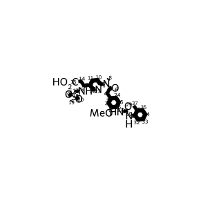 COc1cc(CC(=O)N(C)c2ccc(C(CC(=O)O)NCS(C)(=O)=O)cn2)ccc1NC(=O)Nc1ccccc1C